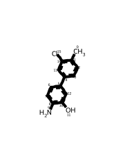 Cc1ccc(-c2ccc(N)c(O)c2)cc1Cl